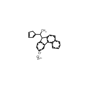 CC(C1=CC=CC1)C1c2ccccc2-c2c1ccc1ccccc21.[Cl-].[Cl-].[Zr+2]